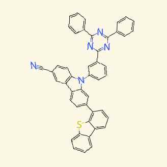 N#Cc1ccc2c(c1)c1ccc(-c3cccc4c3sc3ccccc34)cc1n2-c1cccc(-c2nc(-c3ccccc3)nc(-c3ccccc3)n2)c1